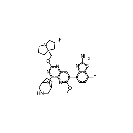 COc1nc2c(N3C4CCC3CNC4)nc(OC[C@@]34CCCN3C[C@H](F)C4)nc2cc1-c1ccc(F)c2sc(N)nc12